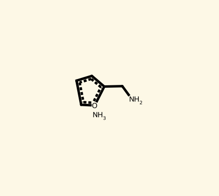 N.NCc1ccco1